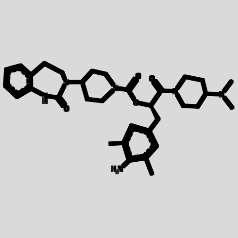 Cc1cc(C[C@@H](OC(=O)N2CCC(N3CCc4ccccc4NC3=O)CC2)C(=O)N2CCC(N(C)C)CC2)cc(C)c1N